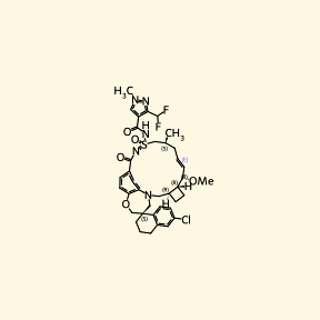 CO[C@H]1/C=C/C[C@H](C)CS(=O)(NC(=O)c2cn(C)nc2C(F)F)=NC(=O)c2ccc3c(c2)N(C[C@@H]2CC[C@H]21)C[C@@]1(CCCc2cc(Cl)ccc21)CO3